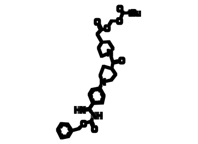 CC(C)(C)C(=O)OCOC(=O)CC1CCN(C(=O)C2CCN(c3ccc(C(=N)NC(=O)OCc4ccccc4)cc3)CC2)CC1